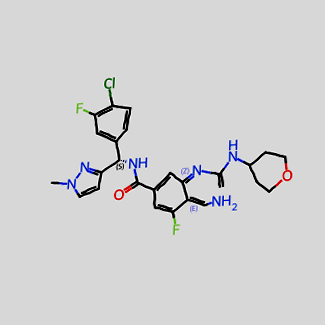 C=C(/N=C1/C=C(C(=O)N[C@@H](c2ccc(Cl)c(F)c2)c2ccn(C)n2)C=C(F)/C1=C/N)NC1CCOCC1